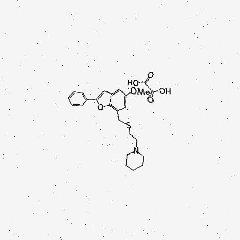 COc1cc(CSCCN2CCCCC2)c2oc(-c3ccccc3)cc2c1.O=C(O)C(=O)O